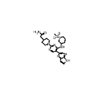 CS(=O)(=O)N1CCCC(Nc2nc(N3CCC(CC(N)=O)CC3)ncc2-c2cnc3[nH]ccc3n2)C1